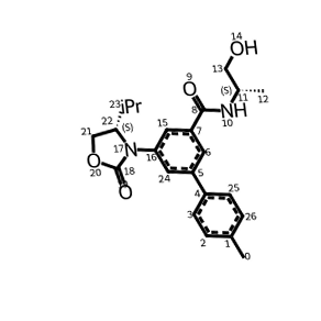 Cc1ccc(-c2cc(C(=O)N[C@@H](C)CO)cc(N3C(=O)OC[C@@H]3C(C)C)c2)cc1